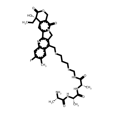 CC[C@@]1(O)C(=O)OCc2c1cc1n(c2=O)Cc2c-1nc1cc(F)c(C)cc1c2CSCCCSCNC(=O)[C@H](C)NC(=O)[C@H](C)NC(=O)[C@H](C)N